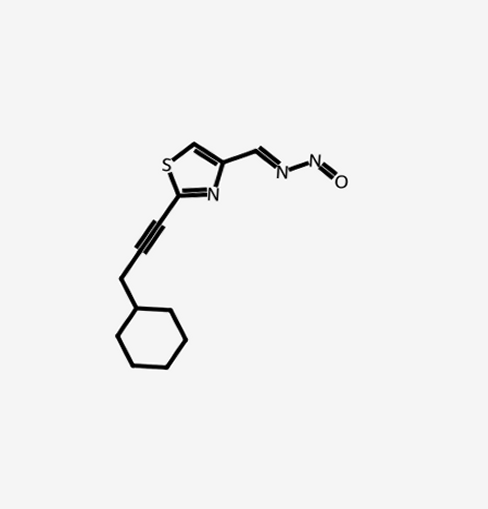 O=NN=Cc1csc(C#CCC2CCCCC2)n1